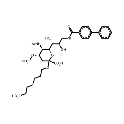 CC(=O)N[C@H]1[C@H]([C@H](O)[C@H](O)CNC(=O)c2ccc(-c3ccccc3)cc2)O[C@@](OCCCSCCC(=O)O)(C(=O)O)C[C@@H]1OS(=O)(=O)O